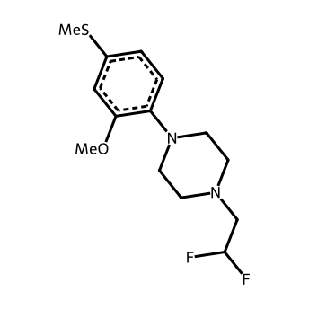 COc1cc(SC)ccc1N1CCN(CC(F)F)CC1